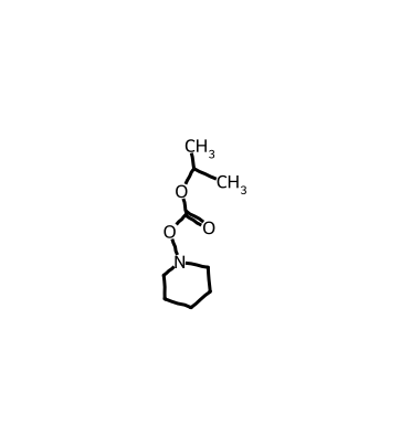 CC(C)OC(=O)ON1CCCCC1